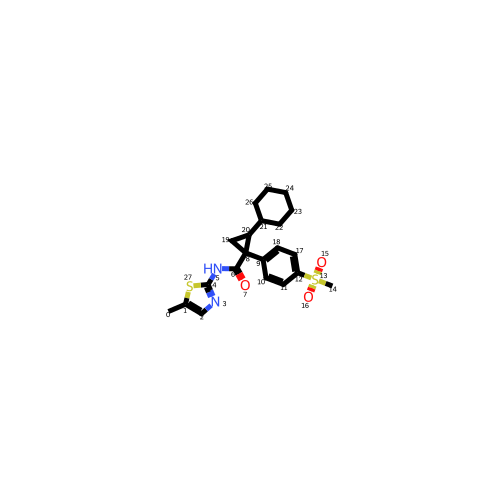 Cc1cnc(NC(=O)C2(c3ccc(S(C)(=O)=O)cc3)CC2C2CCCCC2)s1